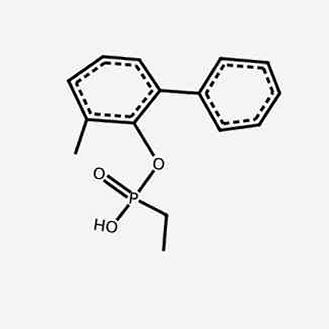 CCP(=O)(O)Oc1c(C)cccc1-c1ccccc1